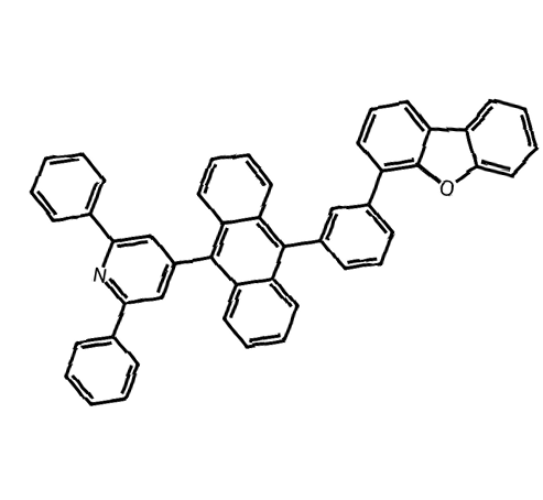 c1ccc(-c2cc(-c3c4ccccc4c(-c4cccc(-c5cccc6c5oc5ccccc56)c4)c4ccccc34)cc(-c3ccccc3)n2)cc1